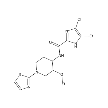 CCOC1CN(c2nccs2)CCC1NC(=O)c1nc(Cl)c(CC)[nH]1